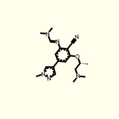 C[C@H](CN(C)C)Oc1cc(-c2cnn(C)c2)cc(/N=C/N(C)C)c1C#N